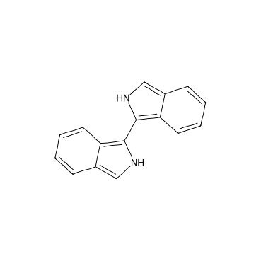 c1ccc2c(-c3[nH]cc4ccccc34)[nH]cc2c1